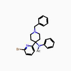 CC(=O)N(c1ccccc1)C1(c2cccc(Br)n2)CCN(Cc2ccccc2)CC1